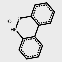 [O].c1ccc2c(c1)OPc1ccccc1-2